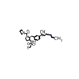 C=C/C=C\C=C(/C)c1cccc(C[C@H]2[C@@H](NS(=O)(=O)CF)CCN2C(=O)N2CCC2)c1